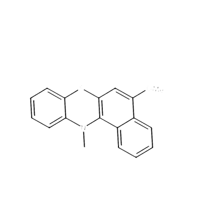 COc1cc2c(c3ccccc13)N(C)c1ccccc1S2